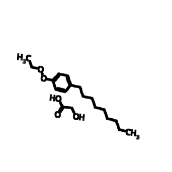 CCCCCCCCCc1ccc(OOCC)cc1.O=C(O)CO